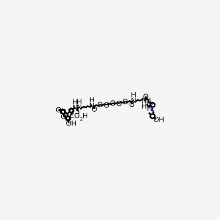 C=C1CCC(O)C/C1=C/C=C1\CCC[C@]2(C)[C@@H]([C@H](C)C(=O)NCCCCNC(=O)CCOCCOCCOCCOCCOCCC(=O)NCCCCCNC(=S)Nc3ccc(-c4c5ccc(=O)cc-5oc5cc(O)ccc45)c(C(=O)O)c3)CC[C@@H]12